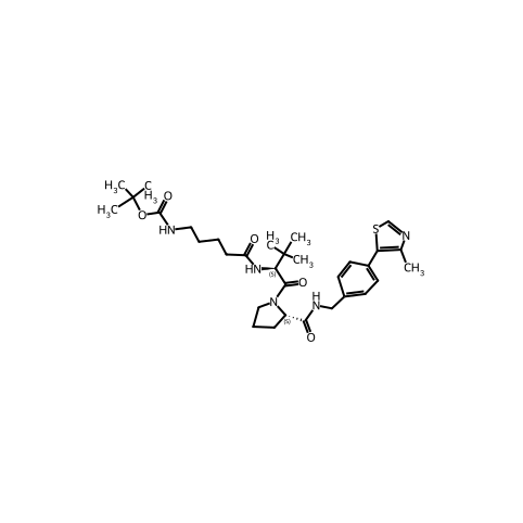 Cc1ncsc1-c1ccc(CNC(=O)[C@@H]2CCCN2C(=O)[C@@H](NC(=O)CCCCNC(=O)OC(C)(C)C)C(C)(C)C)cc1